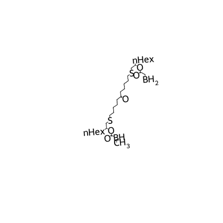 BCC(=O)OC(CCCCCC)CSCCCCCC(=O)CCCCCSCC(CCCCCC)OC(=O)BC